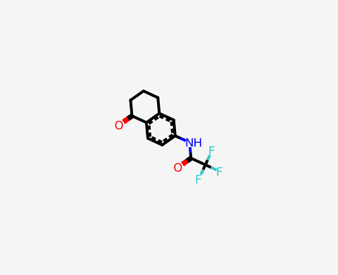 O=C1CCCc2cc(NC(=O)C(F)(F)F)ccc21